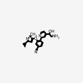 Cn1nc(C2CC2)cc1Oc1cc(C#N)ccc1-c1cc(C(O)CN)ccn1